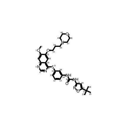 COc1cc2ncnc(Sc3cccc(NC(=O)Nc4cc(C(C)(C)C)on4)c3)c2cc1OCCCN1CCOCC1